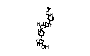 N.Oc1cc(-c2ccc(O[C@H]3C[C@](F)(c4ccnc(OC5CC5)c4)C3)nc2)on1